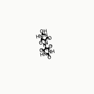 O=C1NC(=O)C(N=NC2C(=O)NC(=O)NC2=O)C(=O)N1